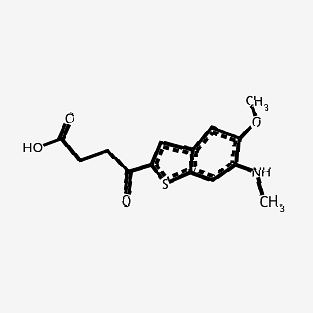 CNc1cc2sc(C(=O)CCC(=O)O)cc2cc1OC